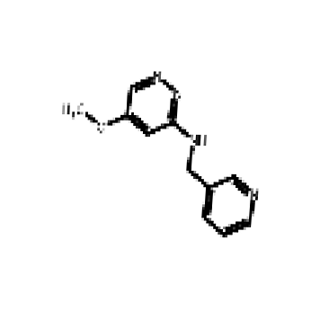 COc1cnnc(NCc2cccnc2)c1